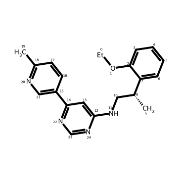 CCOc1ccccc1[C@H](C)CNc1cc(-c2ccc(C)nc2)ncn1